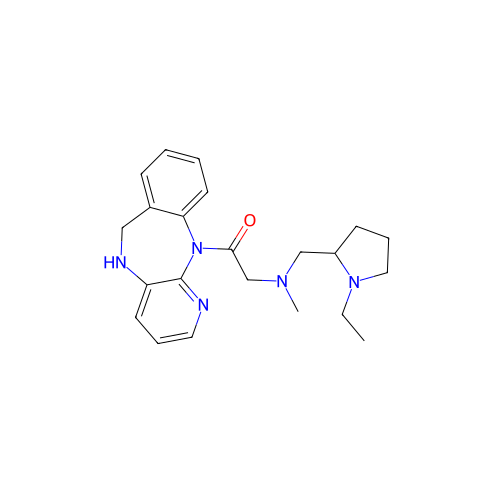 CCN1CCCC1CN(C)CC(=O)N1c2ccccc2CNc2cccnc21